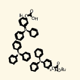 CC(=O)O.CC(=O)O.[Ru].c1ccc(P(c2ccccc2)c2ccccc2)cc1.c1ccc(P(c2ccccc2)c2ccccc2)cc1.c1ccc(P(c2ccccc2)c2ccccc2)cc1